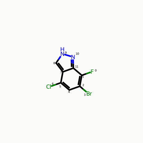 Fc1c(Br)cc(Cl)c2c[nH]nc12